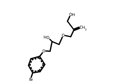 C=C(CO)COCC(O)COc1ccc(Br)cc1